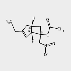 CCC1=C[C@@H]2[C@H](C1)C[C@]2(C[N+](=O)[O-])OC(C)=O